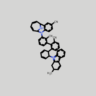 CC1C=Cc2c(n(C3C=CC=CC3c3cccc(C#N)c3-c3cccc(N4c5ccc(C#N)cc5C5C=CC=CC4N5)c3C#N)c3ccccc23)C1